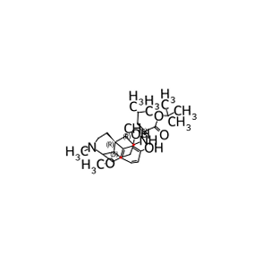 CO[C@@]12CCC(N[C@@H](CC(C)C)C(=O)OC(C)(C)C)[C@H](C)[C@@]13CCN(C)C2Cc1ccc(O)c(O)c13